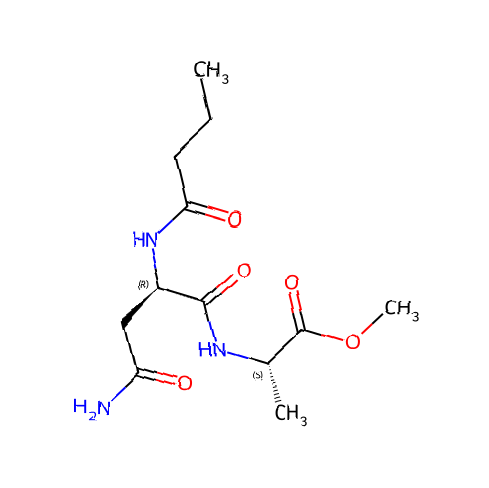 CCCC(=O)N[C@H](CC(N)=O)C(=O)N[C@@H](C)C(=O)OC